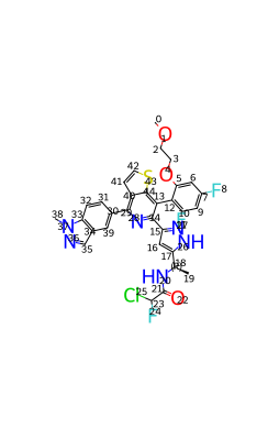 COCCOc1cc(F)cc(F)c1-c1c(-c2cc([C@@H](C)NC(=O)C(F)Cl)[nH]n2)nc(-c2ccc3c(cnn3C)c2)c2ccsc12